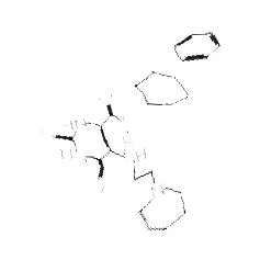 O=C(N[C@H]1CC[C@@H](c2ccccc2)CC1)c1[nH]c(=O)[nH]c(=O)c1NCCN1CCCCC1